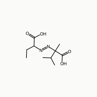 CCC(N=NC(C)(C(=O)O)C(C)C)C(=O)O